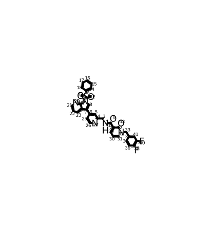 O=C(NCc1cc(-c2cn(S(=O)(=O)c3ccccc3)c3ncccc23)ccn1)c1cccn(Cc2ccc(F)c(F)c2)c1=O